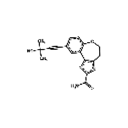 CC(C)(O)C#Cc1ccc2c(c1)-c1nc(C(N)=O)sc1CCO2